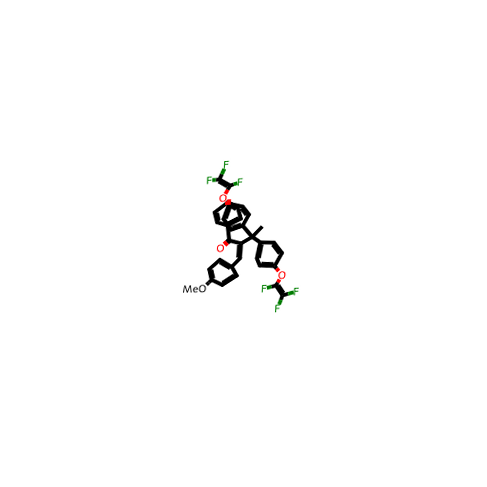 COc1ccc(C=C(C(=O)c2ccccc2)C(C)(c2ccc(OC(F)=C(F)F)cc2)c2ccc(OC(F)=C(F)F)cc2)cc1